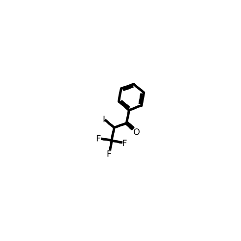 O=C(c1ccccc1)C(I)C(F)(F)F